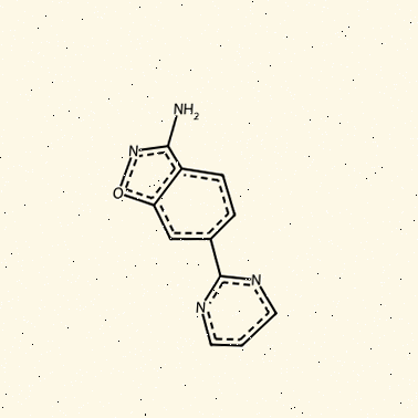 Nc1noc2cc(-c3ncccn3)ccc12